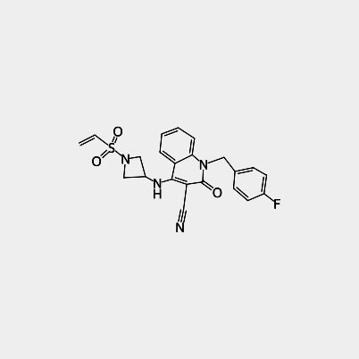 C=CS(=O)(=O)N1CC(Nc2c(C#N)c(=O)n(Cc3ccc(F)cc3)c3ccccc23)C1